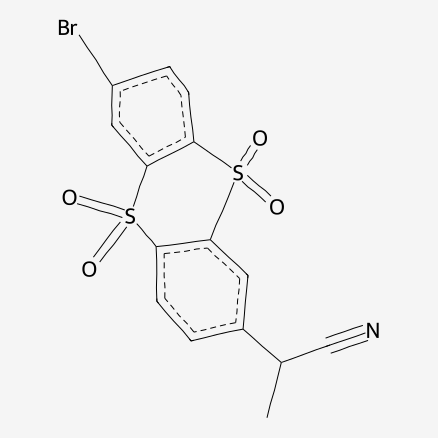 CC(C#N)c1ccc2c(c1)S(=O)(=O)c1ccc(Br)cc1S2(=O)=O